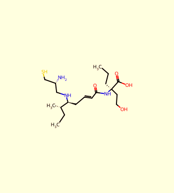 CCC[C@](CCO)(NC(=O)C=CC[C@H](NC[C@@H](N)CS)[C@@H](C)CC)C(=O)O